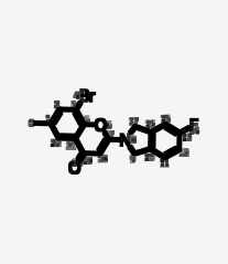 Cc1cc(Br)c2oc(N3Cc4ccc(F)cc4C3)cc(=O)c2c1